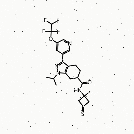 CC(C)n1nc(-c2cncc(OC(F)(F)C(F)F)c2)c2c1CC(C(=O)NC1(C)CC(=S)C1)CC2